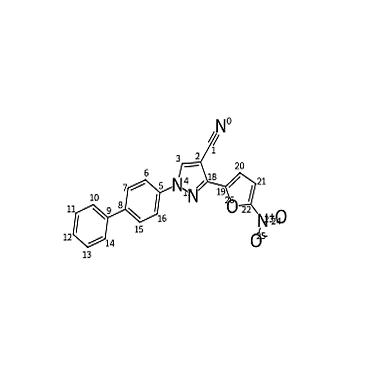 N#Cc1cn(-c2ccc(-c3ccccc3)cc2)nc1-c1ccc([N+](=O)[O-])o1